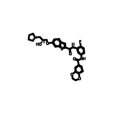 O=C(Nc1ccc(F)c(NC(=O)c2cc3ccc(OC[C@H](O)CN4CCCC4)cc3s2)c1)c1ccc2c(c1)OCCO2